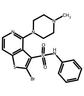 CN1CCN(c2nccc3sc(Br)c(S(=O)(=O)Nc4ccccc4)c23)CC1